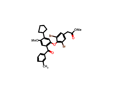 COC(=O)Cc1cc(Br)c(Oc2cc(C3CCCC3)c(OC)cc2C(=O)c2cccc(C)c2)c(Br)c1